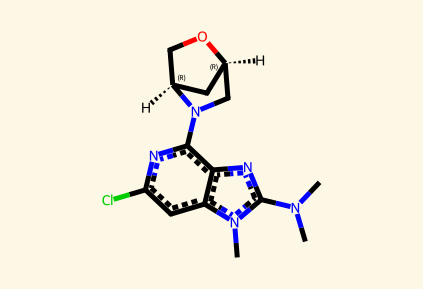 CN(C)c1nc2c(N3C[C@H]4C[C@@H]3CO4)nc(Cl)cc2n1C